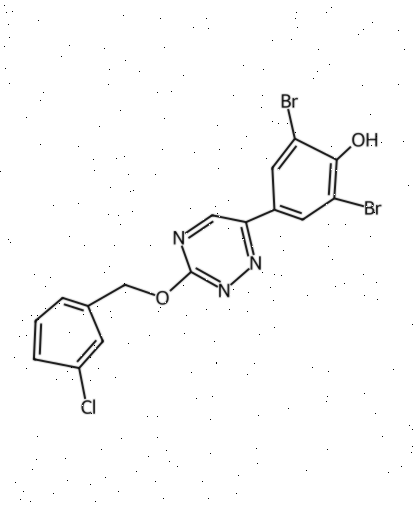 Oc1c(Br)cc(-c2cnc(OCc3cccc(Cl)c3)nn2)cc1Br